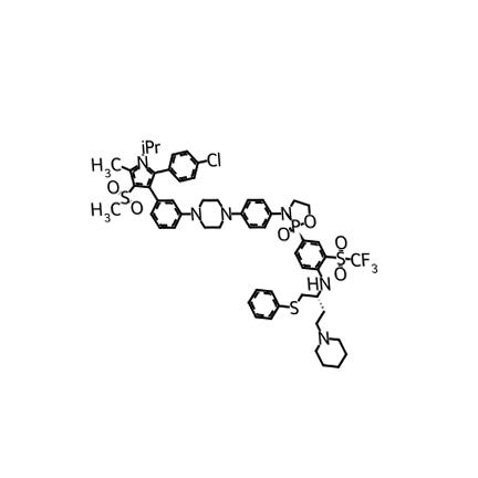 Cc1c(S(C)(=O)=O)c(-c2cccc(N3CCN(c4ccc(N5CCO[P@@]5(=O)c5ccc(N[C@H](CCN6CCCCC6)CSc6ccccc6)c(S(=O)(=O)C(F)(F)F)c5)cc4)CC3)c2)c(-c2ccc(Cl)cc2)n1C(C)C